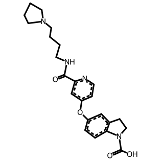 O=C(NCCCCN1CCCC1)c1cc(Oc2ccc3c(c2)CCN3C(=O)O)ccn1